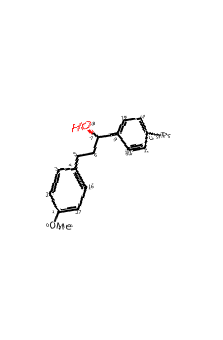 COc1ccc(CCC(O)c2ccc(C(C)C)cc2)cc1